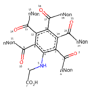 CCCCCCCCCC(=O)c1c(NCC(=O)O)c(C(=O)CCCCCCCCC)c(C(=O)CCCCCCCCC)c(C(=O)CCCCCCCCC)c1C(=O)CCCCCCCCC